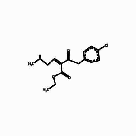 CCOC(=O)C(=CCNC)C(=O)Cc1ccc(Cl)cc1